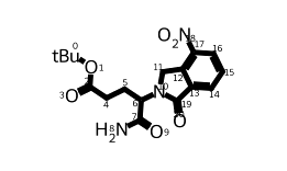 CC(C)(C)OC(=O)CCC(C(N)=O)N1Cc2c(cccc2[N+](=O)[O-])C1=O